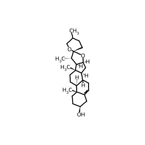 CC1CC[C@@]2(OC1)O[C@H]1C[C@H]3[C@@H]4CC=C5C[C@@H](O)CC[C@]5(C)[C@H]4CC[C@]3(C)[C@H]1[C@@H]2C